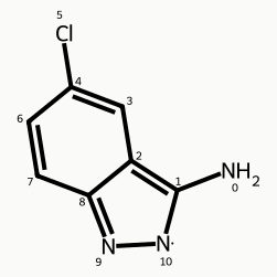 NC1=c2cc(Cl)ccc2=N[N]1